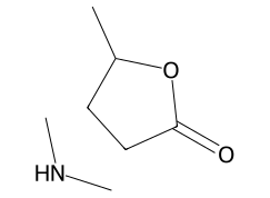 CC1CCC(=O)O1.CNC